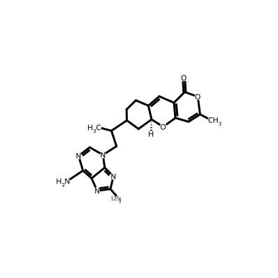 Cc1cc2c(c(=O)o1)C=C1CCC(C(C)Cn3cnc(N)c4nc([125I])nc3-4)C[C@@H]1O2